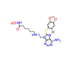 Nc1ncnc2c1nc(Sc1cc3c(cc1Br)OCO3)n2CCNCCCCCC(=O)NO